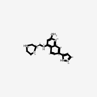 Nc1cc(NC[C@@H]2CNCCO2)c2ccc(-c3ccn[nH]3)cc2n1